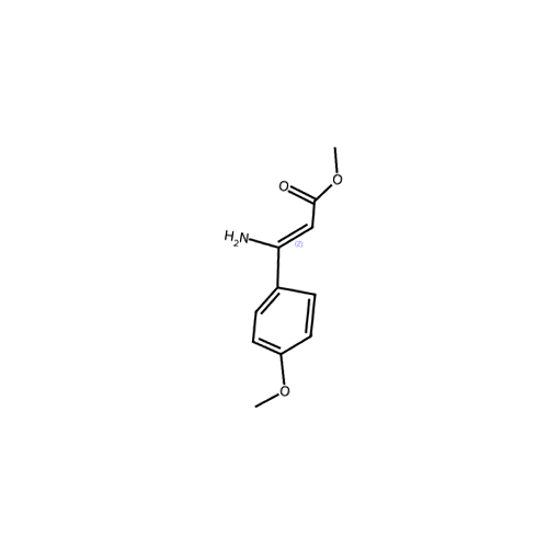 COC(=O)/C=C(\N)c1ccc(OC)cc1